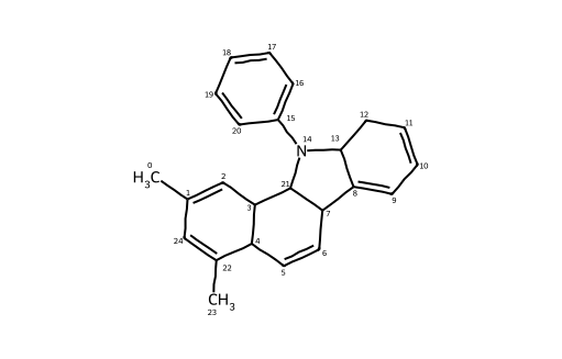 CC1=CC2C(C=CC3C4=CC=CCC4N(c4ccccc4)C32)C(C)=C1